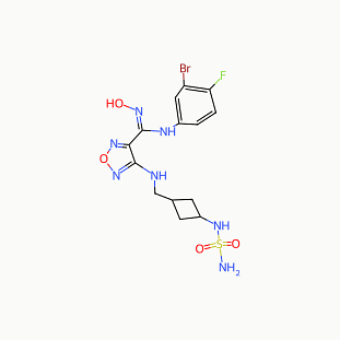 NS(=O)(=O)NC1CC(CNc2nonc2C(=NO)Nc2ccc(F)c(Br)c2)C1